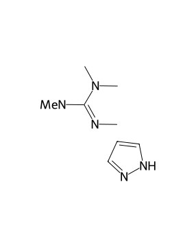 CN=C(NC)N(C)C.c1cn[nH]c1